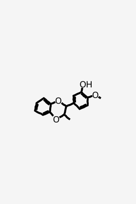 COc1ccc(C2Oc3ccccc3OC2C)cc1O